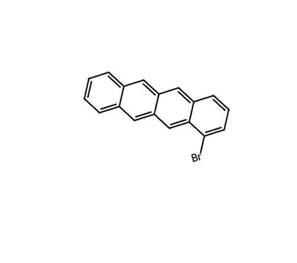 Brc1cccc2cc3cc4ccccc4cc3cc12